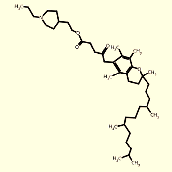 CCCN1CCC(CCOC(=O)CCC(=O)Cc2c(C)c(C)c3c(c2C)CCC(C)(CCCC(C)CCCC(C)CCCC(C)C)O3)CC1